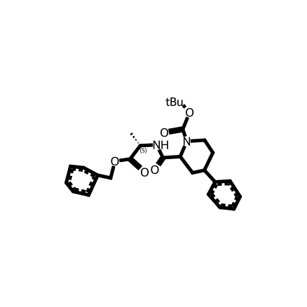 C[C@H](NC(=O)C1CC(c2ccccc2)CCN1C(=O)OC(C)(C)C)C(=O)OCc1ccccc1